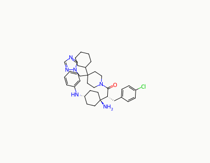 N[C@]1([C@@H](Cc2ccc(Cl)cc2)C(=O)N2CCC(Cn3cncn3)(C3CCCCC3)CC2)CC[C@@H](Nc2ccccc2)CC1